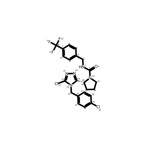 O=C(NCc1ccc(C(F)(F)F)cc1)N1CCC[C@@H]1c1nnc(Cl)n1Cc1ccc(Cl)cc1